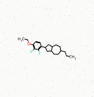 CCCC1CCC2CC(c3ccc(OCC)c(F)c3F)CC2CC1